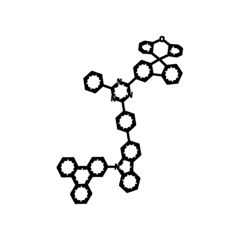 c1ccc(-c2nc(-c3ccc(-c4ccc5c6ccccc6n(-c6ccc7c8ccccc8c8ccccc8c7c6)c5c4)cc3)nc(-c3ccc4c(c3)-c3ccccc3C43c4ccccc4Oc4ccccc43)n2)cc1